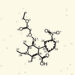 CCOC(=O)CON=C1C(c2cccc([N+](=O)[O-])c2)C(C(=O)O)=C(C)N(CC)C1C